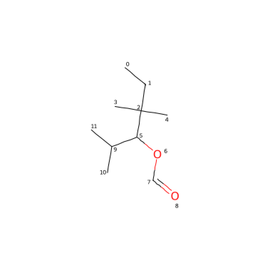 CCC(C)(C)C(OC=O)C(C)C